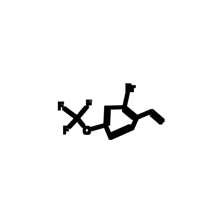 C=Cc1ccc(OC(F)(F)F)cc1Br